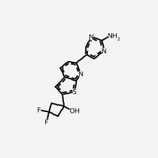 Nc1ncc(-c2ccc3cc(C4(O)CC(F)(F)C4)sc3n2)cn1